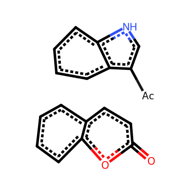 CC(=O)c1c[nH]c2ccccc12.O=c1ccc2ccccc2o1